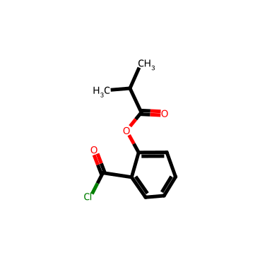 CC(C)C(=O)Oc1ccccc1C(=O)Cl